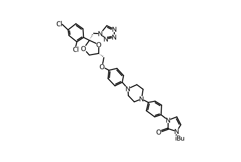 CCC(C)n1ccn(-c2ccc(N3CCN(c4ccc(OC[C@@H]5CO[C@@](Cn6cnnn6)(c6ccc(Cl)cc6Cl)O5)cc4)CC3)cc2)c1=O